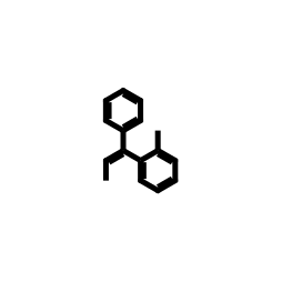 CC=C(c1ccccc1)c1ccccc1C